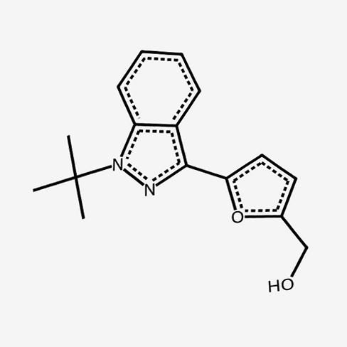 CC(C)(C)n1nc(-c2ccc(CO)o2)c2ccccc21